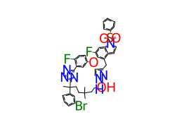 Cn1nc(C(C)(CCC(C)(C)CCO)c2cccc(Br)c2)nc1-c1cc(Oc2c(F)cc3c(ccn3S(=O)(=O)c3ccccc3)c2Cc2cc[nH]n2)ccc1F